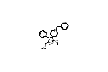 COCC(=O)N(c1ccccc1)C1(C(=O)OC)CCN(Cc2ccccc2)CC1